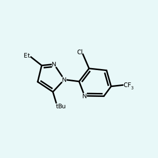 CCc1cc(C(C)(C)C)n(-c2ncc(C(F)(F)F)cc2Cl)n1